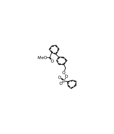 COC(=O)c1ccccc1-c1ccc(COOS(=O)(=O)c2ccccc2)cc1